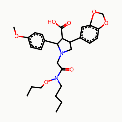 CCCCN(OCCC)C(=O)CN1CC(c2ccc3c(c2)OCO3)C(C(=O)O)C1c1ccc(OC)cc1